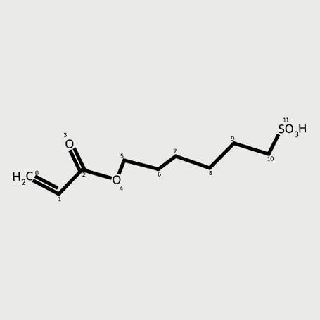 C=CC(=O)OCCCCCCS(=O)(=O)O